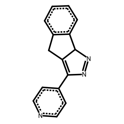 c1ccc2c(c1)CC1=C(c3ccncc3)N=NC12